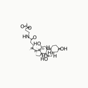 C[C@H](CCC(=O)NCCS(C)(=O)=O)[C@H]1CC[C@H]2[C@@H]3[C@H](O)C[C@@H]4C[C@H](O)CC[C@]4(C)[C@H]3C[C@H](O)[C@]12C